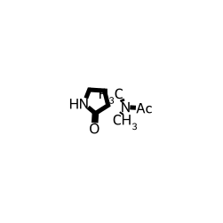 CC(=O)N(C)C.O=C1CCCN1